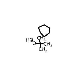 C1CCCCC1.CC(C)(C)OO